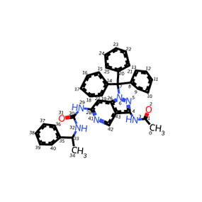 CC(=O)Nc1nn(C(c2ccccc2)(c2ccccc2)c2ccccc2)c2cc(NC(=O)NC(C)c3ccccc3)ncc12